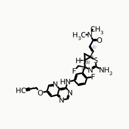 C#CCOc1cnc2c(Nc3ccc(F)c([C@@]4(CF)N=C(N)S[C@@]5(/C=C/C(=O)N(C)C)C[C@H]54)c3)ncnc2c1